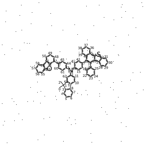 CC1(C)c2ccccc2-c2ccc(N(c3ccc(-c4c(-c5ccccc5)c5c6ccccc6sc5c5ccccc45)cc3)c3ccc(-c4cccc5c4oc4ccccc45)cc3)cc21